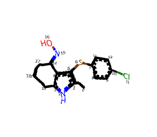 Cc1[nH]c2c(c1Sc1ccc(Cl)cc1)/C(=N/O)CCC2